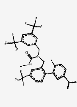 CNC(=O)N(Cc1cc(C(F)(F)F)cc(C(F)(F)F)c1)Cc1cc(C(F)(F)F)ccc1-c1cc(C(C)C)ccc1C